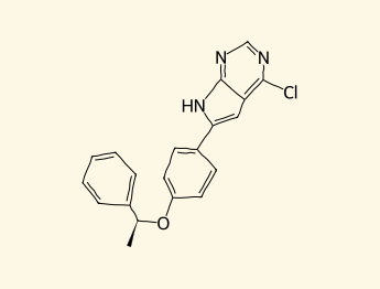 C[C@H](Oc1ccc(-c2cc3c(Cl)ncnc3[nH]2)cc1)c1ccccc1